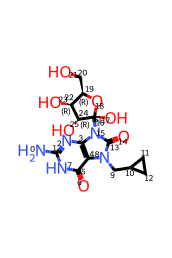 Nc1nc2c(c(=O)[nH]1)n(CC1CC1)c(=O)n2[C@@]1(O)O[C@H](CO)[C@H](O)[C@H]1O